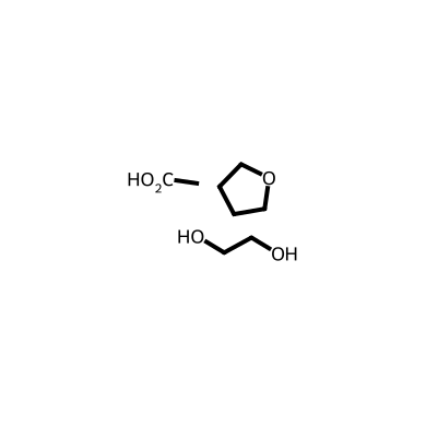 C1CCOC1.CC(=O)O.OCCO